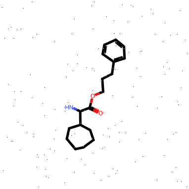 [NH]C(C(=O)OCCCc1ccccc1)C1CCCCCC1